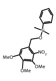 COc1cc(CO[Si](C)(C)c2ccccc2)c([N+](=O)[O-])c(OC)c1OC